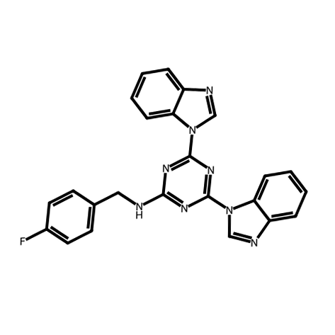 Fc1ccc(CNc2nc(-n3cnc4ccccc43)nc(-n3cnc4ccccc43)n2)cc1